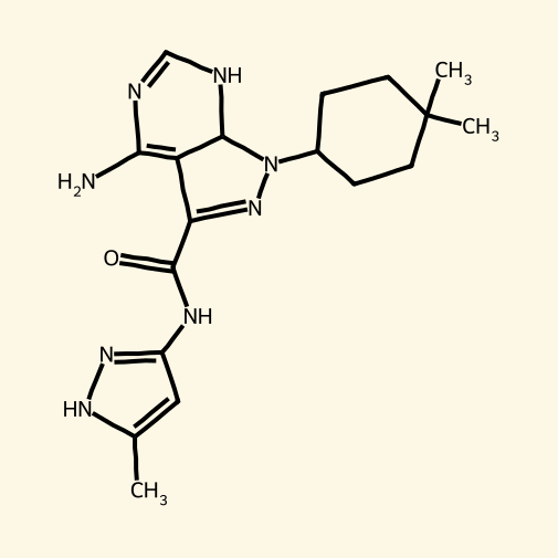 Cc1cc(NC(=O)C2=NN(C3CCC(C)(C)CC3)C3NC=NC(N)=C23)n[nH]1